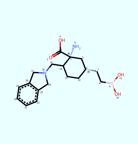 N[C@]1(C(=O)O)C[C@H](CCB(O)O)CCC1CN1Cc2ccccc2C1